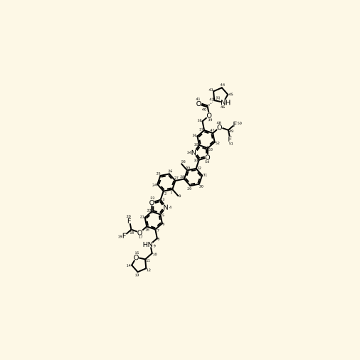 Cc1c(-c2nc3cc(CNCC4CCCO4)c(OC(F)F)cc3o2)cccc1-c1cccc(-c2nc3cc(COC(=O)[C@@H]4CCCN4)c(OC(F)F)cc3o2)c1C